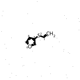 C=CSc1ccoc1